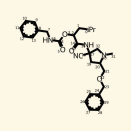 CC(C)CC(OC(=O)NCc1ccccc1)C(=O)NC1(C#N)CC(COCc2ccccc2)N(C)C1